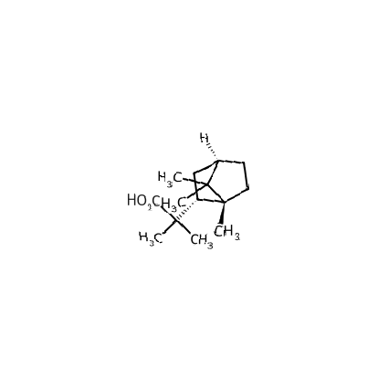 CC(C)(C(=O)O)[C@@H]1C[C@H]2CC[C@@]1(C)C2(C)C